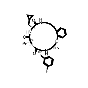 CC(C)[C@H]1NC(=O)[C@@H](Cc2cccc(F)c2)NC[C@@H](C)Oc2ccccc2CCCNC(=O)[C@H](CC2CC2)NC1=O